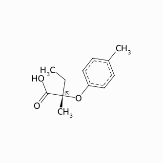 CC[C@](C)(Oc1ccc(C)cc1)C(=O)O